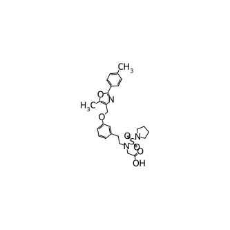 Cc1ccc(-c2nc(COc3cccc(CCN(CC(=O)O)S(=O)(=O)N4CCCC4)c3)c(C)o2)cc1